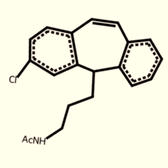 CC(=O)NCCCC1c2ccccc2C=Cc2ccc(Cl)cc21